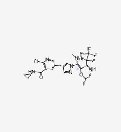 CN/C(=C(/OC(F)F)C(=N)C(F)(F)C(F)(F)F)n1cc(-c2cnc(Cl)c(C(=O)NC3CC3)c2)cn1